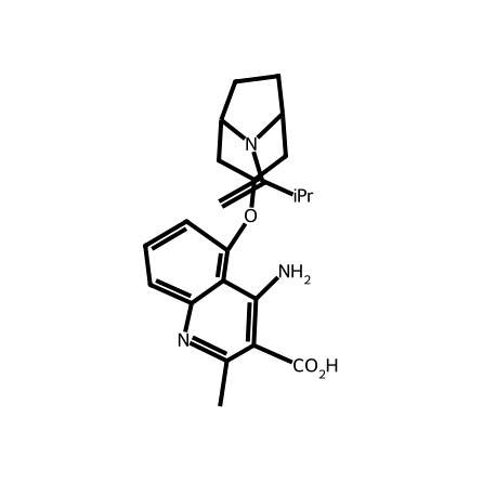 C=C(C(C)C)N1C2CCC1CC(Oc1cccc3nc(C)c(C(=O)O)c(N)c13)C2